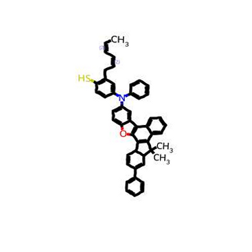 C/C=C\C=C/Cc1cc(N(c2ccccc2)c2ccc3oc4c5c(c6ccccc6c4c3c2)C(C)(C)C2C=C(c3ccccc3)C=CC52)ccc1S